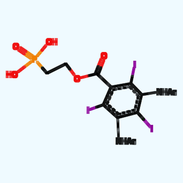 CC(=O)Nc1c(I)c(NC(C)=O)c(I)c(C(=O)OCCP(=O)(O)O)c1I